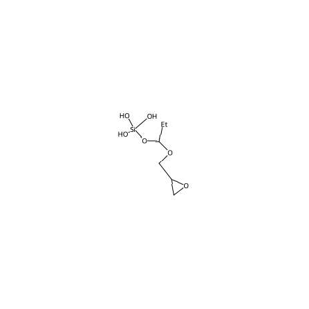 CCC(OCC1CO1)O[Si](O)(O)O